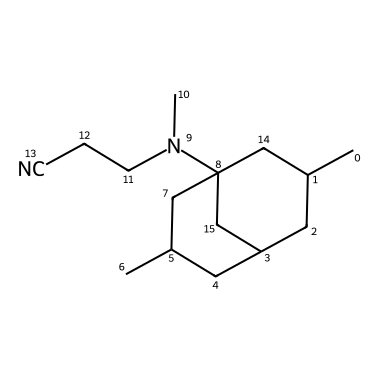 CC1CC2CC(C)CC(N(C)CCC#N)(C1)C2